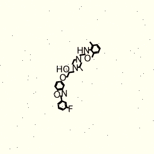 Cc1cccc(C)c1NC(=O)CN1CCN(C[C@@H](O)COc2ccc3oc(-c4cccc(F)c4)nc3c2)[C@H](C)C1